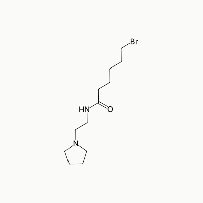 O=C(CCCCCBr)NCCN1CCCC1